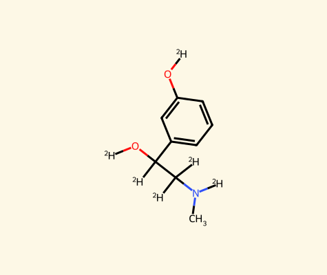 [2H]Oc1cccc(C([2H])(O[2H])C([2H])([2H])N([2H])C)c1